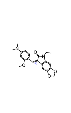 CCN1C(=O)/C(=C\c2ccc(N(C)C)cc2OC)c2cc3c(cc21)OCO3